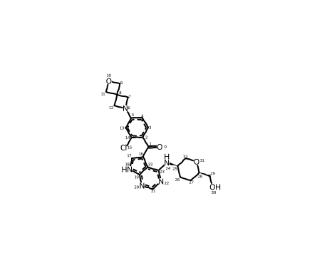 O=C(c1ccc(N2CC3(COC3)C2)cc1Cl)c1c[nH]c2ncnc(N[C@@H]3CC[C@H](CO)OC3)c12